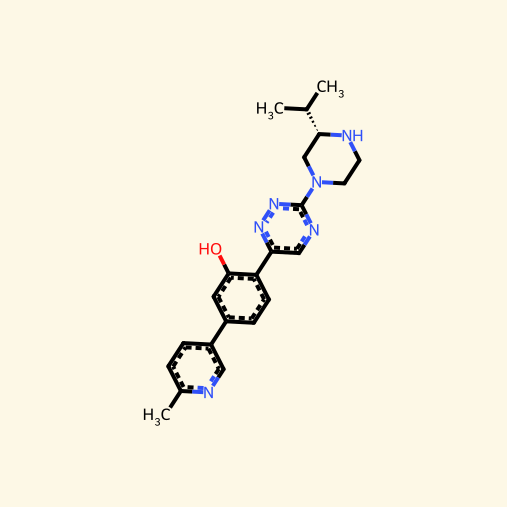 Cc1ccc(-c2ccc(-c3cnc(N4CCN[C@@H](C(C)C)C4)nn3)c(O)c2)cn1